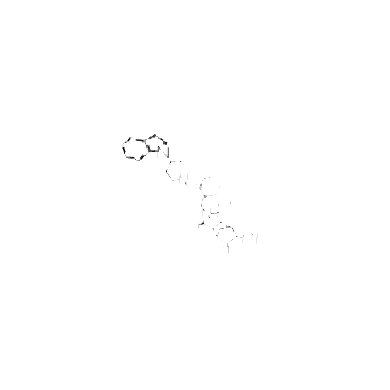 CC1C(O)C2CC1C1C(=O)N(C[C@@H]3CCCC[C@H]3CN3CCC(n4ccc5ccccc54)CC3)C(=O)C21